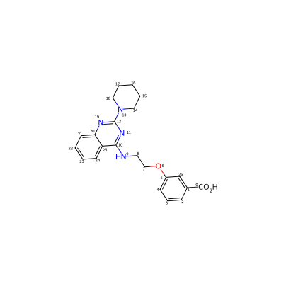 O=C(O)c1cccc(OCCNc2nc(N3CCCCC3)nc3ccccc23)c1